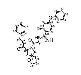 N=C(NCC(=O)N1CC2(C[C@H]1C(=O)OCc1ccccc1)OCCO2)c1ccc(Oc2ccccc2)cc1F